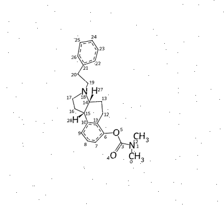 CN(C)C(=O)Oc1cccc2c1CC[C@@H]1[C@H]2CCN1CCc1ccccc1